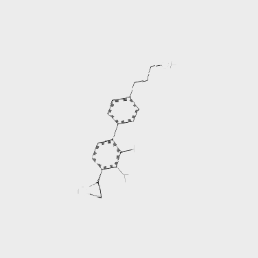 OCCCc1ccc(-c2ccc(C3CO3)c(F)c2F)cc1